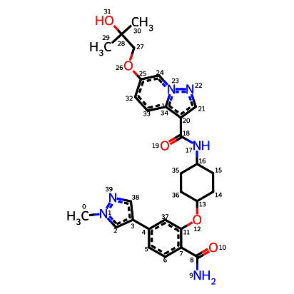 Cn1cc(-c2ccc(C(N)=O)c(OC3CCC(NC(=O)c4cnn5cc(OCC(C)(C)O)ccc45)CC3)c2)cn1